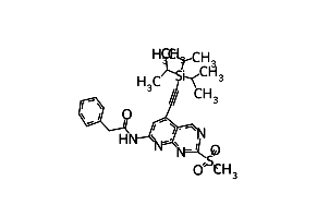 CC(C)[Si](C#Cc1cc(NC(=O)Cc2ccccc2)nc2nc(S(C)(=O)=O)ncc12)(C(C)C)C(C)C